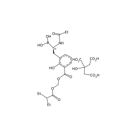 CCC(=O)N[C@@H](Cc1cccc(C(=O)OCOC(=O)C(CC)CC)c1O)B(O)O.O=C(O)CC(O)(CC(=O)O)C(=O)O